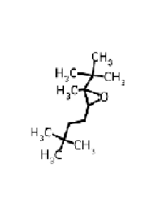 CC(C)(C)CCC1OC1(C)C(C)(C)C